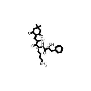 CC(C)C([C]=C1C(=O)CC(C)(C)CC1=O)C(=O)[C@H](CCCCN)NC(=O)[C@@H](N)Cc1ccccc1